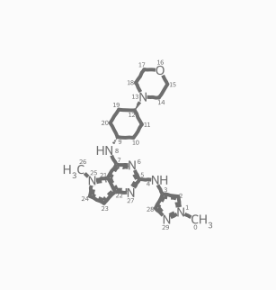 Cn1cc(Nc2nc(N[C@H]3CC[C@H](N4CCOCC4)CC3)c3c(ccn3C)n2)cn1